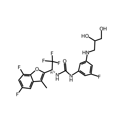 Cc1c([C@@H](NC(=O)Nc2cc(F)cc(NCC(O)CO)c2)C(F)(F)F)oc2c(F)cc(F)cc12